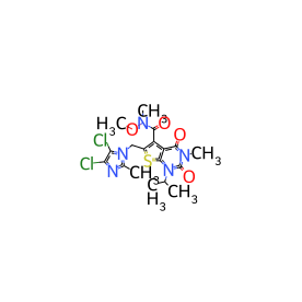 CON(C)C(=O)c1c(Cn2c(C)nc(Cl)c2Cl)sc2c1c(=O)n(C)c(=O)n2C(C)C